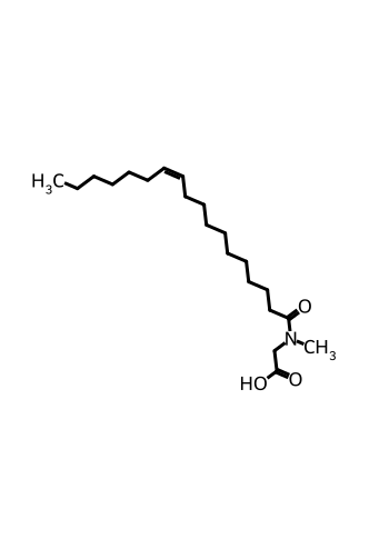 CCCCCC/C=C\CCCCCCCCCC(=O)N(C)CC(=O)O